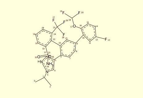 CC(C)n1cc(-c2ccc(-c3cc(F)ccc3OC(F)F)cc2-c2c(C(F)(F)F)cccc2S(N)(=O)=O)cn1